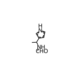 CC(N[C]=O)c1cc[nH]c1